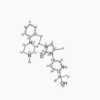 Cc1cn(CCc2ccccc2N2CCN(C)CC2)c(=O)n1-c1ccc(C(C)(C)O)nc1